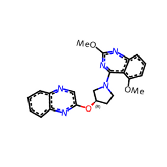 COc1nc(N2CC[C@@H](Oc3cnc4ccccc4n3)C2)c2c(OC)cccc2n1